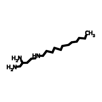 CCCCCCCCCCCCNCCCC(N)CN